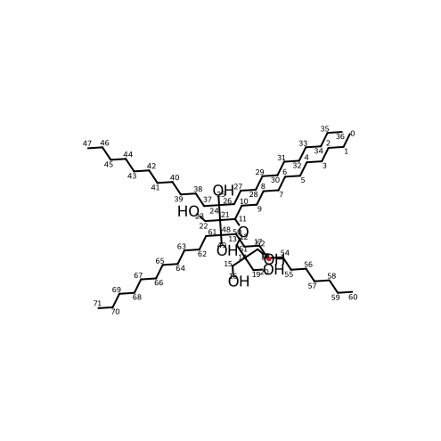 CCCCCCCCCCCC(OCC(CO)(CO)CO)C(CO)(C(O)(CCCCCCCCCCC)CCCCCCCCCCC)C(O)(CCCCCCCCCCC)CCCCCCCCCCC